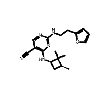 C[C@H]1C[C@@H](Nc2nc(NCCc3ccco3)ncc2C#N)C1(C)C